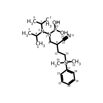 CC(C)N(C(C)C)N(CC(C#N)CC[Si](C)(C)c1ccccc1)P(O)O